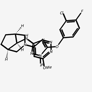 COc1cc(N2C[C@H]3CC[C@@H](C2)[C@H]3Nc2nc(Oc3ccc(F)c(Cl)c3)n(C(C)C)n2)cnn1